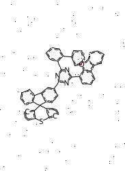 c1ccc(-c2ccccc2-c2nc(-c3ccc4c(c3)-c3ccccc3C43c4ccccc4Sc4ccccc43)nc(-c3cccc4c3oc3ccccc34)n2)cc1